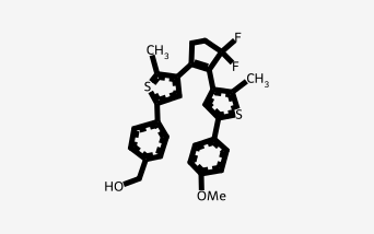 COc1ccc(-c2cc(C3=C(c4cc(-c5ccc(CO)cc5)sc4C)CCC3(F)F)c(C)s2)cc1